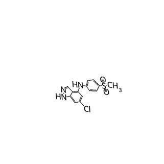 CS(=O)(=O)c1ccc(Nc2cc(Cl)cc3[nH]ncc23)cc1